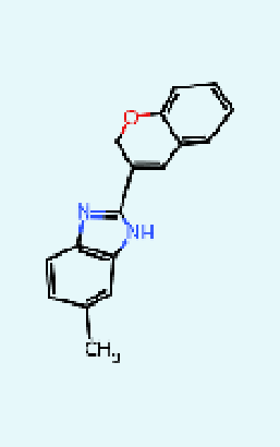 Cc1ccc2nc(C3=Cc4ccccc4OC3)[nH]c2c1